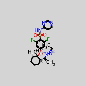 C=C([C@H]1CCCC[C@]1(C)Oc1cc(F)c(S(=O)(=O)Nc2ccncn2)c(F)c1)N(C)/N=C\C